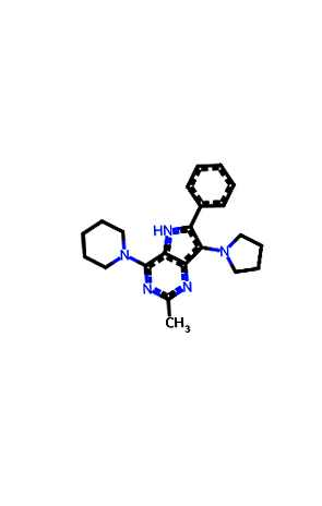 Cc1nc(N2CCCCC2)c2[nH]c(-c3ccccc3)c(N3CCCC3)c2n1